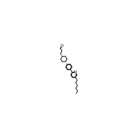 CCCCCCc1ccc(-c2ccc([C@H]3CC[C@H](CCC=O)CC3)cc2)nc1